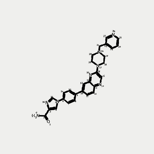 NC(=O)c1cn(-c2ccc(-c3ccc4ncc(N5CCN(Cc6cccnc6)CC5)nc4c3)cc2)cn1